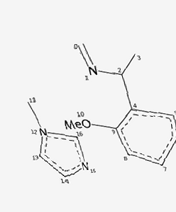 C=NC(C)c1ccccc1OC.Cn1ccnc1